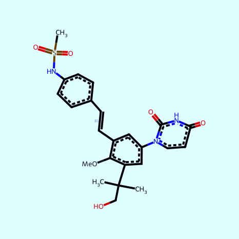 COc1c(/C=C/c2ccc(NS(C)(=O)=O)cc2)cc(-n2ccc(=O)[nH]c2=O)cc1C(C)(C)CO